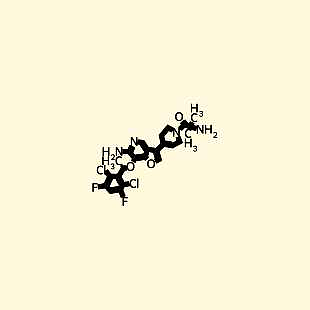 C[C@@H](Oc1c(N)ncc2c(C3=CCN(C(=O)C(C)(C)N)CC3)coc12)c1c(Cl)c(F)cc(F)c1Cl